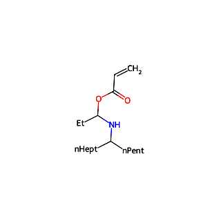 C=CC(=O)OC(CC)NC(CCCCC)CCCCCCC